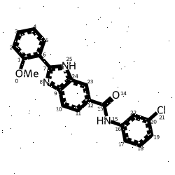 COc1ccccc1-c1nc2ccc(C(=O)Nc3cccc(Cl)c3)cc2[nH]1